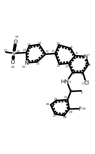 CC(Nc1c(Cl)cnc2ccc(-c3ccc(S(C)(=O)=O)nc3)cc12)c1ccccc1F